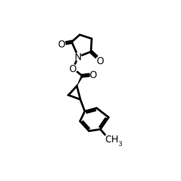 Cc1ccc(C2C[C@H]2C(=O)ON2C(=O)CCC2=O)cc1